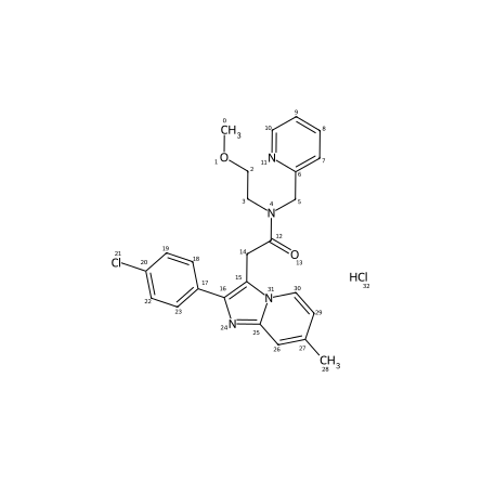 COCCN(Cc1ccccn1)C(=O)Cc1c(-c2ccc(Cl)cc2)nc2cc(C)ccn12.Cl